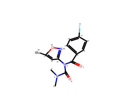 CN(C)C(=O)N(C(=O)c1ccc(F)cc1)c1cc(C(C)(C)C)on1